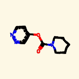 O=C(Oc1ccnnc1)N1CCCCC1